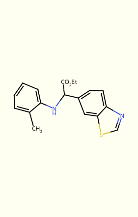 CCOC(=O)C(Nc1ccccc1C)c1ccc2ncsc2c1